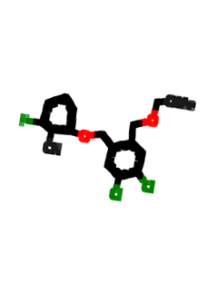 COCOCc1cc(Cl)c(Cl)cc1COc1cccc(F)c1C#N